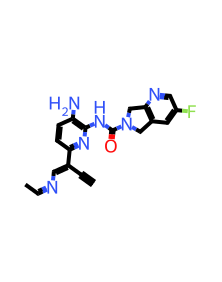 C#C/C(=C\N=C/C)c1ccc(N)c(NC(=O)N2Cc3cc(F)cnc3C2)n1